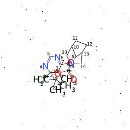 Cc1c(Cl)ncnc1OC1C2CCC1CN(C(=O)OC(C)(C)C)C2